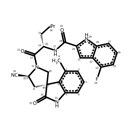 Cc1cccc2c1[C@@]1(C[C@@H](C#N)N(C(=O)[C@H](CC(C)C)NC(=O)c3cc4c(F)cccc4[nH]3)C1)C(=O)N2